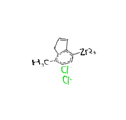 Cc1cc[c]([Zr+2])c2c1CC=C2.[Cl-].[Cl-]